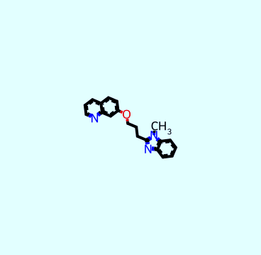 Cn1c(CCCOc2ccc3cccnc3c2)nc2ccccc21